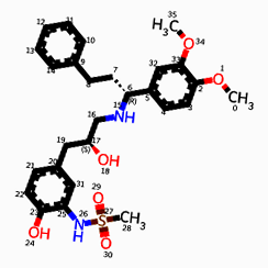 COc1ccc([C@@H](CCc2ccccc2)NC[C@@H](O)Cc2ccc(O)c(NS(C)(=O)=O)c2)cc1OC